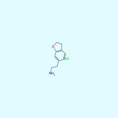 Cl.NCCc1ccc2c(c1)OCC2